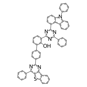 Oc1c(-c2ccc(-c3nc(-c4ccccc4)c4sc5ccccc5c4n3)cc2)cccc1-c1nc(-c2ccccc2)nc(-c2cccc3c2c2ccccc2n3-c2ccccc2)n1